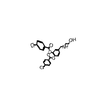 O=C(Oc1ccc(CNCCO)cc1OC(=O)c1ccc(Cl)cc1)c1ccc(Cl)cc1